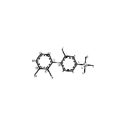 Cc1cc([Si](C)(C)C)ccc1-c1cccc(C)c1C